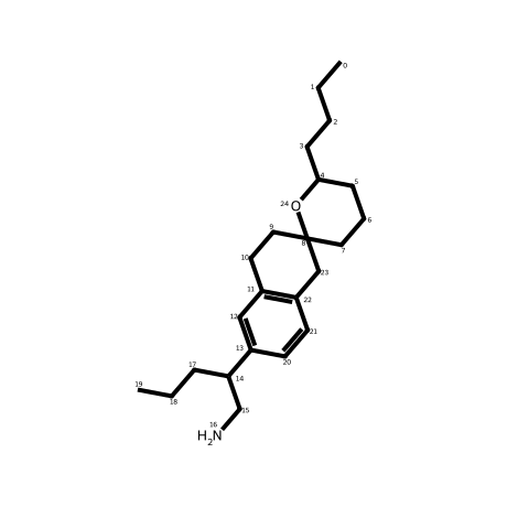 CCCCC1CCCC2(CCc3cc(C(CN)CCC)ccc3C2)O1